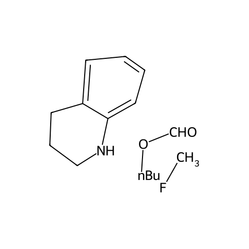 CCCCOC=O.CF.c1ccc2c(c1)CCCN2